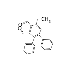 CCc1cc(-c2ccccc2)c(-c2ccccc2)c(C=O)c1C=O